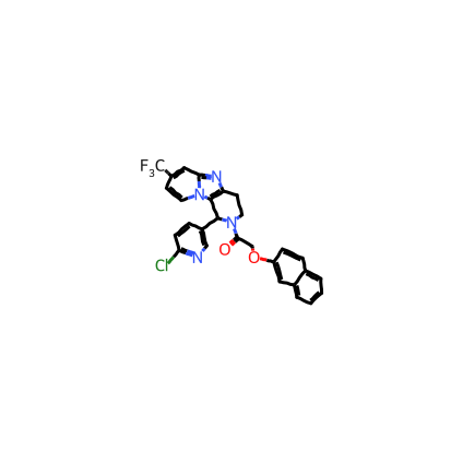 O=C(COc1ccc2ccccc2c1)N1CCc2nc3cc(C(F)(F)F)ccn3c2C1c1ccc(Cl)nc1